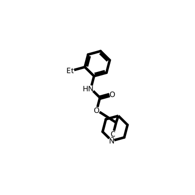 CCc1ccccc1NC(=O)OC1CN2CCC1CC2